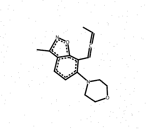 CC=C=Cc1c(N2CCOCC2)ccc2c(C)noc12